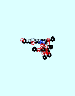 CCCCCCCCCCCCCC[C@@H](OCc1ccccc1)[C@@H](OCc1ccccc1)[C@H](CO[C@H]1O[C@H](COCc2ccccc2)[C@H](OCc2ccccc2)[C@H](OCc2ccccc2)[C@H]1OCc1ccccc1)NC(=O)CCCCCOCCCCC1CCOCC1